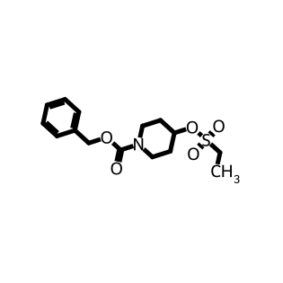 CCS(=O)(=O)OC1CCN(C(=O)OCc2ccccc2)CC1